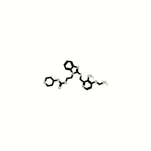 Cc1c(OCC(F)(F)F)ccnc1CSc1nc2ccccc2n1CCOC(=O)OC1CCOCC1